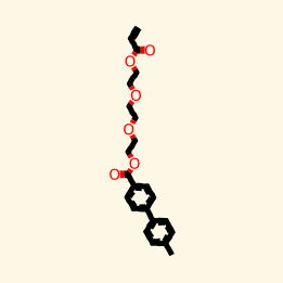 C=CC(=O)OCCOCCOCCOC(=O)c1ccc(-c2ccc(C)cc2)cc1